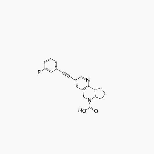 O=C(O)N1Cc2cc(C#Cc3cccc(F)c3)cnc2C2CCCC21